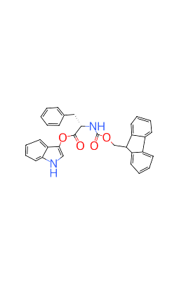 O=C(N[C@@H](Cc1ccccc1)C(=O)Oc1c[nH]c2ccccc12)OCC1c2ccccc2-c2ccccc21